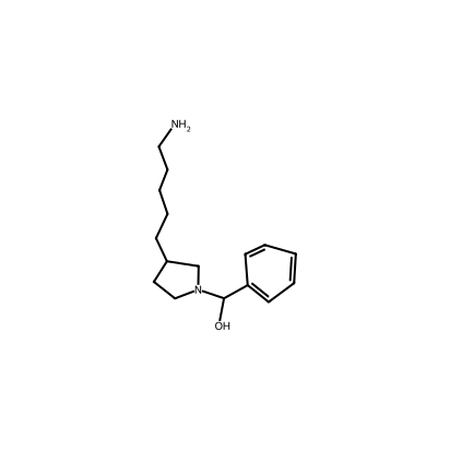 NCCCCCC1CCN(C(O)c2ccccc2)C1